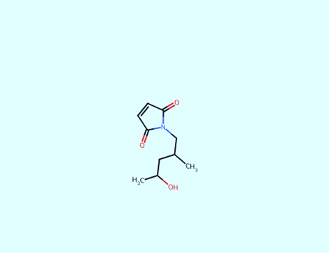 CC(O)CC(C)CN1C(=O)C=CC1=O